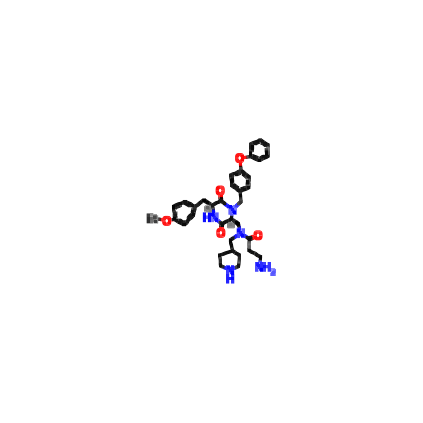 CCOc1ccc(C[C@@H]2NC(=O)[C@H](CN(CC3CCNCC3)C(=O)CCN)N(Cc3ccc(Oc4ccccc4)cc3)C2=O)cc1